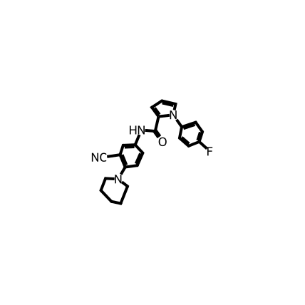 N#Cc1cc(NC(=O)c2cccn2-c2ccc(F)cc2)ccc1N1CCCCC1